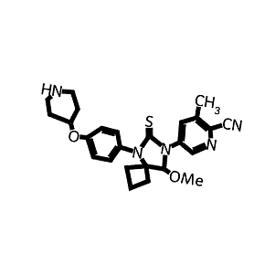 COC1N(c2cnc(C#N)c(C)c2)C(=S)N(c2ccc(OC3CCNCC3)cc2)C12CCC2